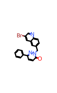 O=c1ccc(-c2ccccc2)nn1Cc1ccc2ncc(Br)cc2c1